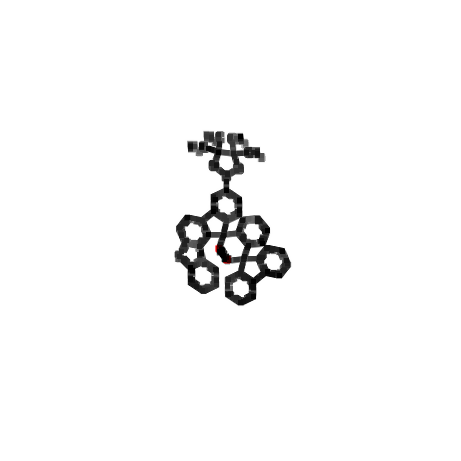 CC1(C)OB(c2ccc3c(c2)-c2ccc4sc5ccccc5c4c2C32c3ccccc3C3(c4ccccc4-c4ccccc43)c3ccccc32)OC1(C)C